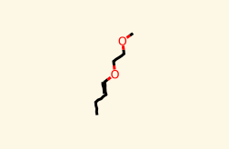 CCC=COCCOC